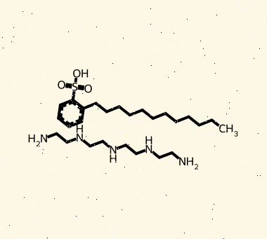 CCCCCCCCCCCCc1ccccc1S(=O)(=O)O.NCCNCCNCCNCCN